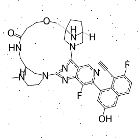 C#Cc1c(F)ccc2cc(O)cc(-c3ncc4c5nc(nc4c3F)N3CCN(C)[C@@H](CNC(=O)CCOC[C@@]46CC[C@@H](CN5C4)N6)C3)c12